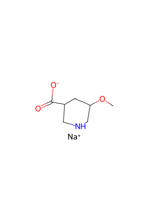 COC1CNCC(C(=O)[O-])C1.[Na+]